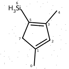 CC1=CC(C)=C([SiH3])C1